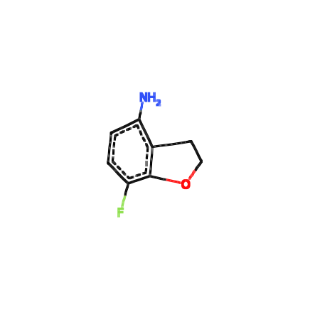 Nc1ccc(F)c2c1CCO2